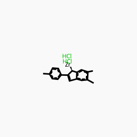 Cc1ccc(C2=Cc3cc(C)c(C)cc3[C@@H]2[Zr])cc1.Cl.Cl